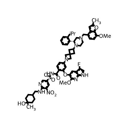 COc1nc2[nH]cc(F)c2cc1Oc1cc(N2CC3(CC(N4CCN(Cc5ccc(OC)c6oc(C)cc56)C[C@H]4c4ccccc4C(C)C)C3)C2)ccc1C(=O)NS(=O)(=O)c1cnc(NCC2CCC(C)(O)CC2)c([N+](=O)[O-])c1